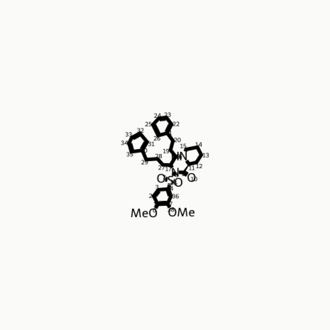 COc1ccc(S(=O)(=O)N(C(=O)[C@@H]2CCCCN2)C(CCCc2ccccc2)CCCc2ccccc2)cc1OC